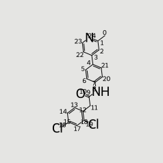 Cc1cc(-c2ccc(NC(=O)Cc3ccc(Cl)cc3Cl)cc2)ccn1